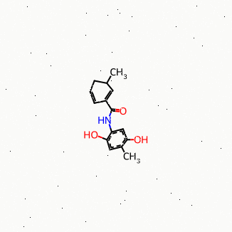 Cc1cc(O)c(NC(=O)C2=CC(C)CC=C2)cc1O